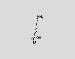 CCOC(O)CCCCCCCN